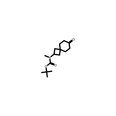 CN(C(=O)OC(C)(C)C)C1CC2(CCC(=O)CC2)C1